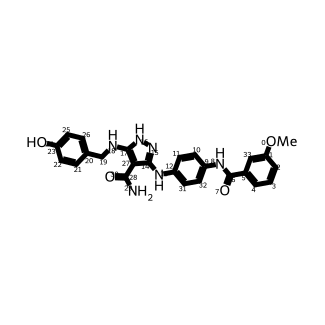 COc1cccc(C(=O)Nc2ccc(Nc3n[nH]c(NCc4ccc(O)cc4)c3C(N)=O)cc2)c1